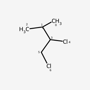 C[C](C)C(Cl)CCl